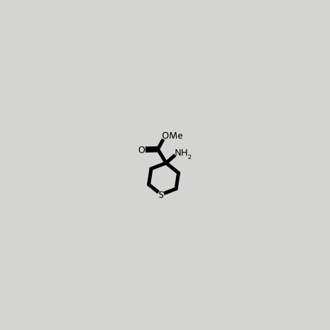 COC(=O)C1(N)CCSCC1